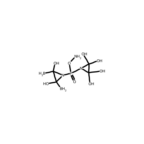 BC1(O)N(P(=O)(ON)N2C(O)(O)C2(O)O)C1(B)O